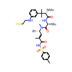 CN[C@H](C(=O)N[C@H](C(=O)N(C)[C@H](/C=C(\C)C(=O)NS(=O)(=O)c1ccc(C)cc1)C(C)C)C(C)(C)C)C(C)(C)c1cccc(NCCS)c1